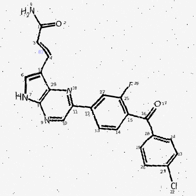 NC(=O)/C=C/c1c[nH]c2ncc(-c3ccc(C(=O)c4ccc(Cl)cc4)c(F)c3)nc12